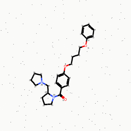 O=C(c1ccc(OCCCCOc2ccccc2)cc1)N1CCCC1CN1CCCC1